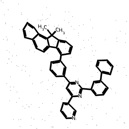 CC1(C)c2cccc(-c3cccc(-c4cc(-c5cccnc5)nc(-c5cccc(-c6ccccc6)c5)n4)c3)c2-c2ccc3ccccc3c21